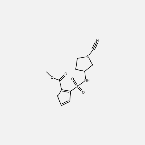 COC(=O)c1sccc1S(=O)(=O)NC1CCN(C#N)C1